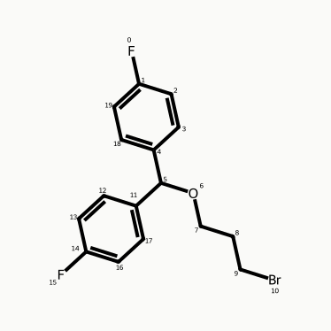 Fc1ccc(C(OCCCBr)c2ccc(F)cc2)cc1